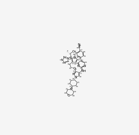 C[C@@H](Cn1cnnn1)Oc1cc(-c2cnc(Nc3cn([C@H]4CC[C@H](N5CCOCC5)CC4)nc3OCCc3ccn(C)n3)nc2)ccc1C#N